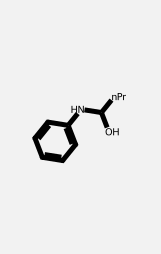 CCCC(O)Nc1ccccc1